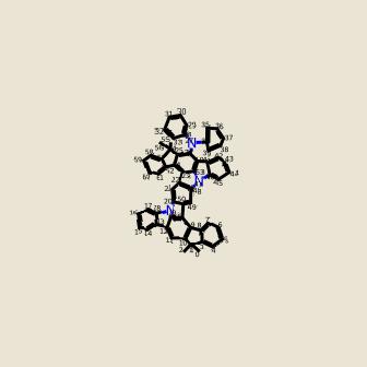 CC1(C)c2ccccc2-c2c1cc1c3ccccc3n3c4cc5c6c7c(c(N(c8ccccc8)c8ccccc8)c8c9ccccc9n(c5cc4c2c13)c68)C(C)(C)c1ccccc1-7